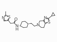 Cc1ncc(CC(=O)N[C@H]2CC[C@H](CCN3CCc4sc(C5CC5)nc4C3)CC2)s1